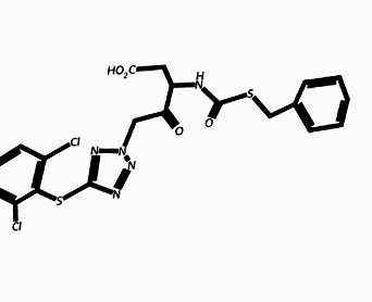 O=C(O)CC(NC(=O)SCc1ccccc1)C(=O)Cn1nnc(Sc2c(Cl)cccc2Cl)n1